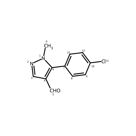 Cn1ncc(C=O)c1-c1ccc(Cl)cc1